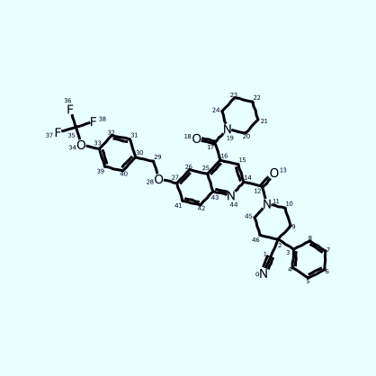 N#CC1(c2ccccc2)CCN(C(=O)c2cc(C(=O)N3CCCCC3)c3cc(OCc4ccc(OC(F)(F)F)cc4)ccc3n2)CC1